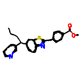 CCCC(c1cccnc1)c1ccc2nc(-c3ccc(C(=O)OC)cc3)sc2c1